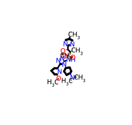 COc1cccc(-c2nnc(NS(=O)(=O)[C@@H](C)[C@H](OC)c3ncc(C)cn3)n2-c2ccc(N(C)C)cc2)n1